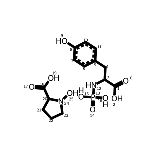 O=C(O)C(Cc1ccc(O)cc1)NP(=O)(O)O.O=C(O)C1CCCN1O